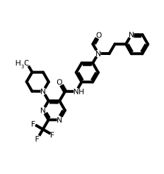 CC1CCN(c2nc(C(F)(F)F)ncc2C(=O)Nc2ccc(N(C=O)CCc3ccccn3)cc2)CC1